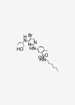 CCCCCCNS(=O)(=O)c1cc(Nc2ncc(Br)c(N[C@H](CC)CO)n2)ccc1C